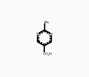 CCOC(=O)c1cnc(C(C)(C)C)nc1